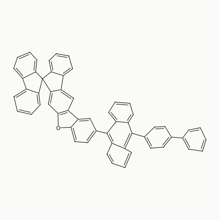 c1ccc(-c2ccc(-c3c4ccccc4c(-c4ccc5oc6cc7c(cc6c5c4)-c4ccccc4C74c5ccccc5-c5ccccc54)c4ccccc34)cc2)cc1